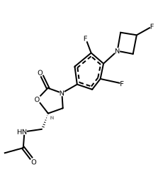 CC(=O)NC[C@H]1CN(c2cc(F)c(N3CC(F)C3)c(F)c2)C(=O)O1